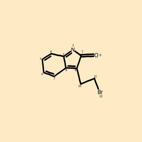 O=C1N=c2ccccc2=C1CCBr